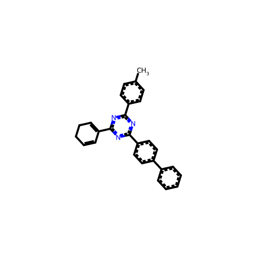 Cc1ccc(-c2nc(C3=CCCC=C3)nc(-c3ccc(-c4ccccc4)cc3)n2)cc1